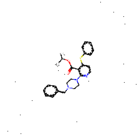 CC(C)OC(=O)c1c(Sc2ccccc2)ccnc1N1CCN(Cc2ccccc2)CC1